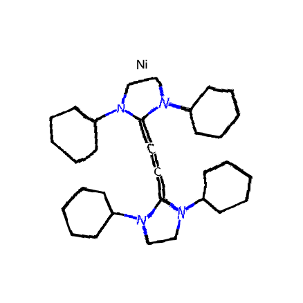 C(=C=C1N(C2CCCCC2)CCN1C1CCCCC1)=C1N(C2CCCCC2)CCN1C1CCCCC1.[Ni]